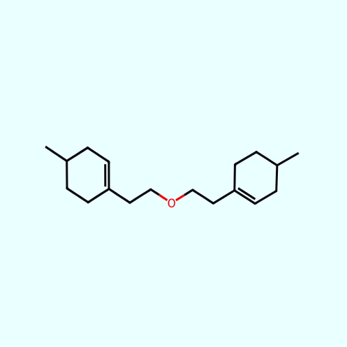 CC1CC=C(CCOCCC2=CCC(C)CC2)CC1